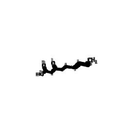 C=CC=CCCC(=O)CC(=O)O